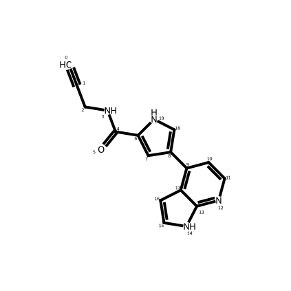 C#CCNC(=O)c1cc(-c2ccnc3[nH]ccc23)c[nH]1